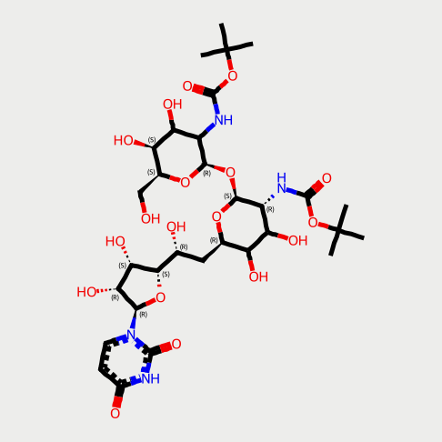 CC(C)(C)OC(=O)NC1C(O)[C@H](O)[C@H](CO)O[C@@H]1O[C@@H]1O[C@H](C[C@@H](O)[C@@H]2O[C@@H](n3ccc(=O)[nH]c3=O)[C@H](O)[C@@H]2O)C(O)C(O)[C@H]1NC(=O)OC(C)(C)C